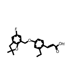 CCc1cc(OCc2cc(F)cc3c2OC(C)(C)C3)ccc1/C=C/C(=O)O